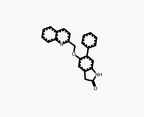 O=C1Cc2cc(OCc3ccc4ccccc4n3)c(-c3ccccc3)cc2N1